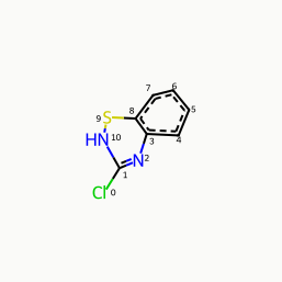 ClC1=Nc2ccccc2SN1